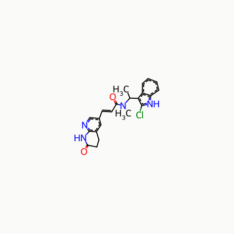 CC(c1c(Cl)[nH]c2ccccc12)N(C)C(=O)C=Cc1cnc2c(c1)CCC(=O)N2